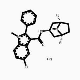 CN1[C@@H]2CC[C@H]1C[C@@H](NC(=O)c1c(-c3ccccc3)n(C)c3ccc(Cl)cc13)C2.Cl